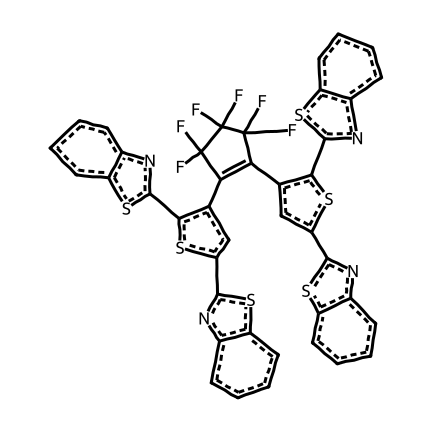 FC1(F)C(c2cc(-c3nc4ccccc4s3)sc2-c2nc3ccccc3s2)=C(c2cc(-c3nc4ccccc4s3)sc2-c2nc3ccccc3s2)C(F)(F)C1(F)F